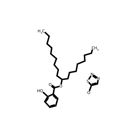 CCCCCCCCCC(CCCCCCCC)OC(=O)c1ccccc1O.[O]c1cnns1